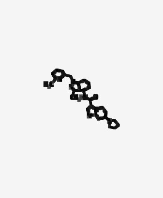 Cc1cccc(Cn2nc(C)c3c(NC(=O)c4cnc5cc(N6CCCC6)ccn45)cccc32)n1